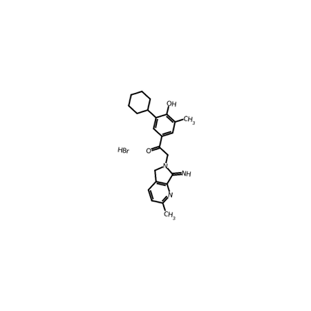 Br.Cc1ccc2c(n1)C(=N)N(CC(=O)c1cc(C)c(O)c(C3CCCCC3)c1)C2